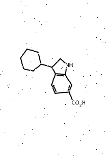 O=C(O)c1ccc2c(c1)NCC2C1CCCCC1